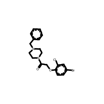 O=C(COc1ccc(Br)cc1Cl)N1CCN(Cc2ccccc2)CC1